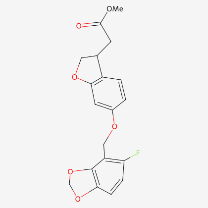 COC(=O)CC1COc2cc(OCc3c(F)ccc4c3OCO4)ccc21